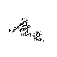 CC[C@@H](NC(=O)OC[C@@H]1CNC[C@H]1CN(C(=O)c1ccc(OC)c(OCCCOC)c1)C(C)C)c1ccccc1